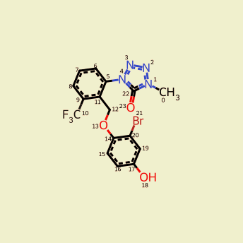 Cn1nnn(-c2cccc(C(F)(F)F)c2COc2ccc(O)cc2Br)c1=O